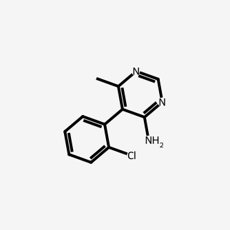 Cc1ncnc(N)c1-c1ccccc1Cl